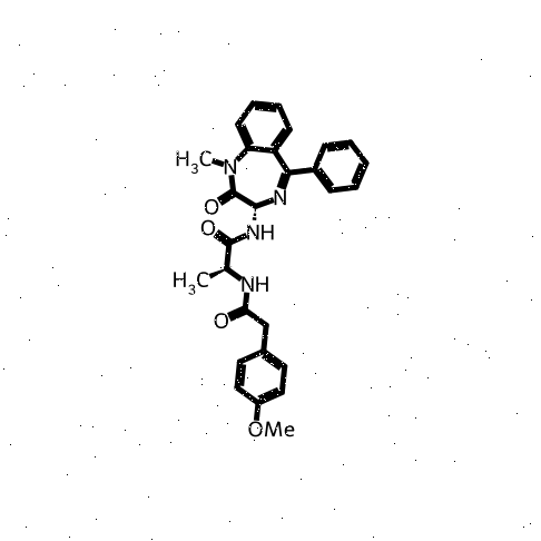 COc1ccc(CC(=O)N[C@@H](C)C(=O)N[C@H]2N=C(c3ccccc3)c3ccccc3N(C)C2=O)cc1